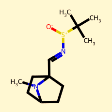 CN1C2CCC1(/C=N/[S+]([O-])C(C)(C)C)CC2